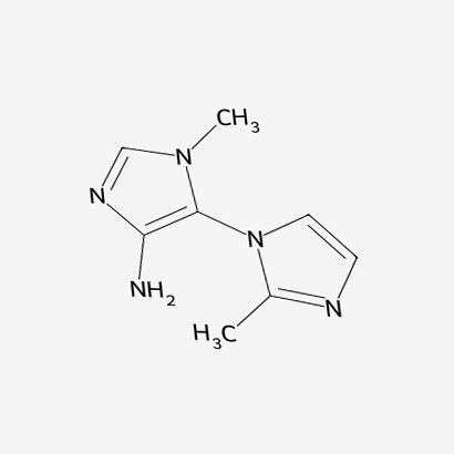 Cc1nccn1-c1c(N)ncn1C